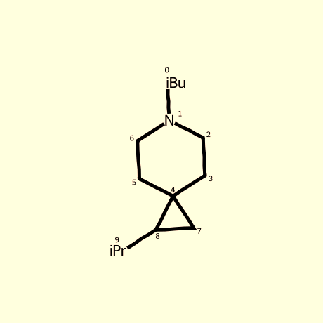 CCC(C)N1CCC2(CC1)CC2C(C)C